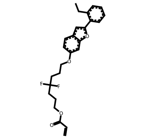 C=CC(=O)OCCCC(F)(F)CCCOc1ccc2cc(-c3ccccc3CC)oc2c1